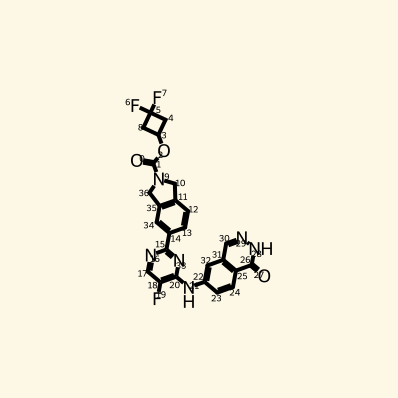 O=C(OC1CC(F)(F)C1)N1Cc2ccc(-c3ncc(F)c(Nc4ccc5c(=O)[nH]ncc5c4)n3)cc2C1